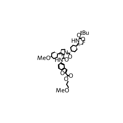 COCCCOC(=O)c1cc2cc(NC(=O)[C@H]3[C@@H]([C@H]4CC[C@H](OC)CC4)CCN3C(=O)[C@H]3CC[C@H]([C@@H](CF)NC(=O)OC(C)(C)C)CC3)ccc2o1